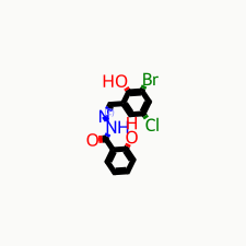 O=C(N/N=C\c1cc(Cl)cc(Br)c1O)c1ccccc1O